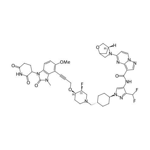 COc1ccc2c(c1C#CCO[C@@H]1CCN(C[C@H]3CC[C@H](n4cc(NC(=O)c5cnn6ccc(N7CC8C[C@@H]7CO8)nc56)c(C(F)F)n4)CC3)C[C@@H]1F)n(C)c(=O)n2C1CCC(=O)NC1=O